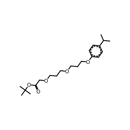 CC(C)c1ccc(OCCCOCCCOCC(=O)OC(C)(C)C)cc1